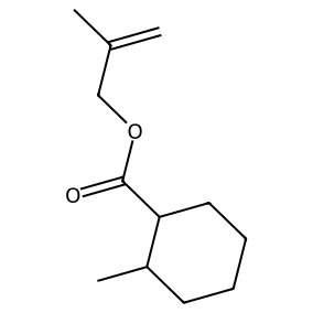 C=C(C)COC(=O)C1CCCCC1C